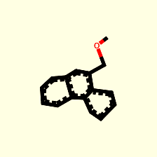 COCc1cc2ccccc2c2ccccc12